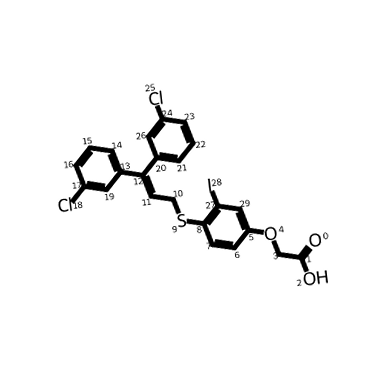 O=C(O)COc1ccc(SCC=C(c2cccc(Cl)c2)c2cccc(Cl)c2)c(I)c1